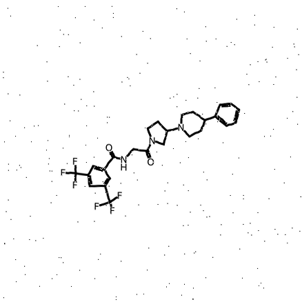 O=C(NCC(=O)N1CCC(N2CCC(c3ccccc3)CC2)C1)c1cc(C(F)(F)F)cc(C(F)(F)F)c1